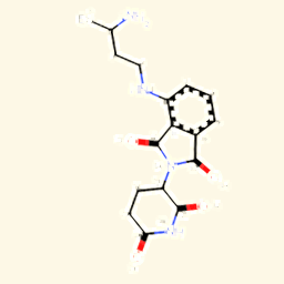 CCC(N)CCNc1cccc2c1C(=O)N(C1CCC(=O)NC1=O)C2=O